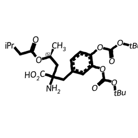 CC(C)CC(=O)O[C@@H](C)CC(N)(Cc1ccc(OC(=O)OC(C)(C)C)c(OC(=O)OC(C)(C)C)c1)C(=O)O